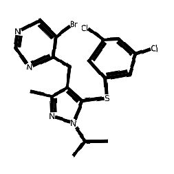 Cc1nn(C(C)C)c(Sc2cc(Cl)cc(Cl)c2)c1Cc1ncncc1Br